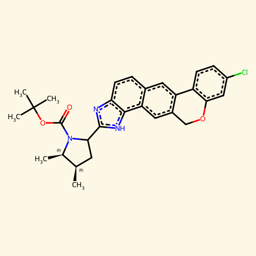 C[C@@H]1CC(c2nc3ccc4cc5c(cc4c3[nH]2)COc2cc(Cl)ccc2-5)N(C(=O)OC(C)(C)C)[C@@H]1C